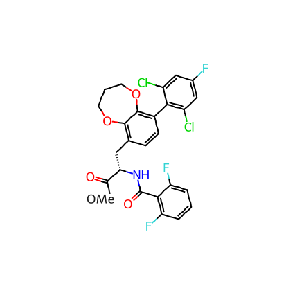 COC(=O)[C@H](Cc1ccc(-c2c(Cl)cc(F)cc2Cl)c2c1OCCCO2)NC(=O)c1c(F)cccc1F